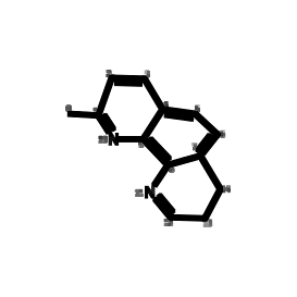 Cc1ccc2ccc3c(c2n1)N=CCC3